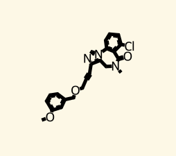 COc1cccc(COCC#Cc2ncn3c2CN(C)C(=O)c2c(Cl)cccc2-3)c1